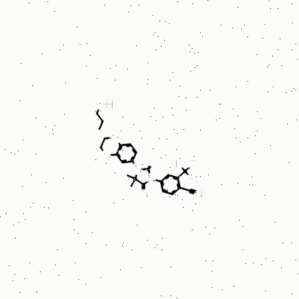 CC1(C)C(=O)N(c2ccc(C#N)c(C(F)(F)F)c2)C(=S)N1c1ccc2c(c1)SC[C@H](CCCO)O2